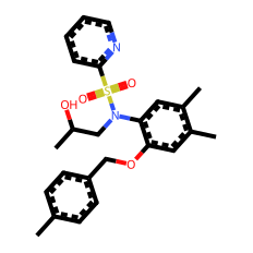 Cc1ccc(COc2cc(C)c(C)cc2N(CC(C)O)S(=O)(=O)c2ccccn2)cc1